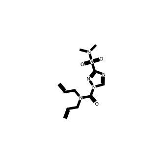 C=CCN(CC=C)C(=O)n1cnc(S(=O)(=O)N(C)C)n1